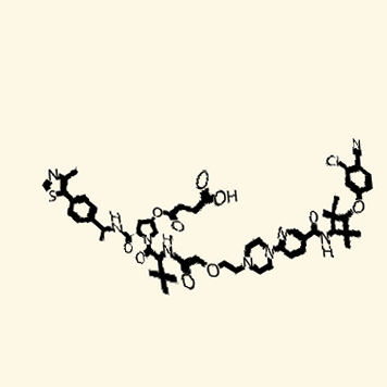 Cc1ncsc1-c1ccc([C@H](C)NC(=O)[C@@H]2C[C@@H](OC(=O)CCC(=O)O)CN2C(=O)C(NC(=O)COCCN2CCN(c3ccc(C(=O)NC4C(C)(C)C(Oc5ccc(C#N)c(Cl)c5)C4(C)C)cn3)CC2)C(C)(C)C)cc1